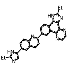 CCc1ncc(-c2ccc3nc(-c4ccc5c(c4)c4nccnc4c4nc(CC)[nH]c54)ccc3c2)[nH]1